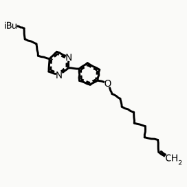 C=CCCCCCCCCOc1ccc(-c2ncc(CCCCC(C)CC)cn2)cc1